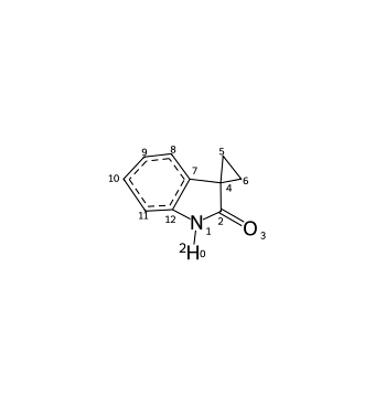 [2H]N1C(=O)C2(CC2)c2ccccc21